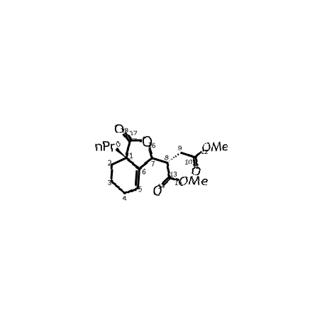 CCC[C@]12CCCC=C1C([C@H](CC(=O)OC)C(=O)OC)OC2=O